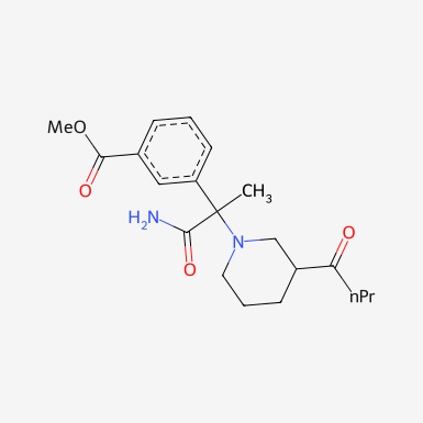 CCCC(=O)C1CCCN(C(C)(C(N)=O)c2cccc(C(=O)OC)c2)C1